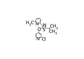 C=C(C)c1nc(-c2cccc(C)n2)c(Oc2ccnc(Cl)c2)s1